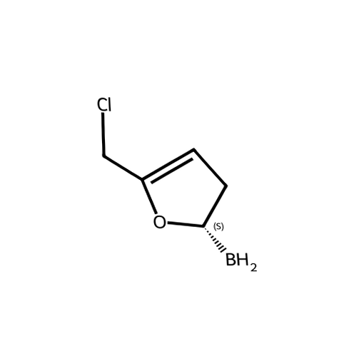 B[C@H]1CC=C(CCl)O1